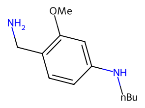 CCCCNc1ccc(CN)c(OC)c1